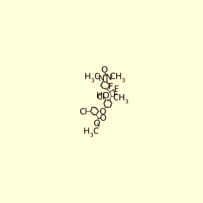 CCOC(=O)c1cc(Cl)ccc1Oc1ccc(C(C)C(O)(c2ccc3c(c2)n(C)c(=O)n3C)C(F)(F)F)c(Cl)c1